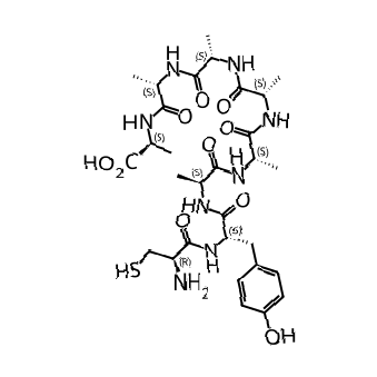 C[C@H](NC(=O)[C@H](C)NC(=O)[C@H](C)NC(=O)[C@H](C)NC(=O)[C@H](C)NC(=O)[C@H](C)NC(=O)[C@H](Cc1ccc(O)cc1)NC(=O)[C@@H](N)CS)C(=O)O